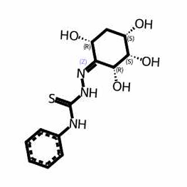 O[C@@H]1[C@H](O)/C(=N\NC(=S)Nc2ccccc2)[C@H](O)C[C@@H]1O